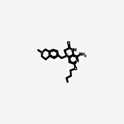 CCCCOc1cc2c(c(N)n1)NC(=O)CN2Cc1ccc2c(c1)CCN(C)C2